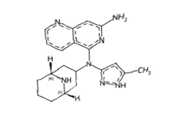 Cc1cc(N(c2nc(N)cc3ncccc23)C2C[C@H]3CCC[C@@H](C2)N3)n[nH]1